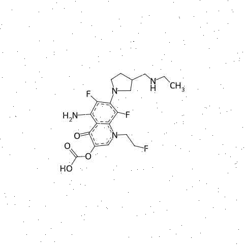 CCNCC1CCN(c2c(F)c(N)c3c(=O)c(OC(=O)O)cn(CCF)c3c2F)C1